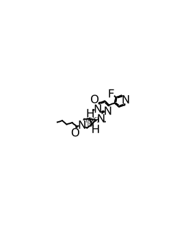 CCCCC(=O)N1C[C@@H]2[C@H](C1)[C@H]2N(C)c1nc(-c2ccncc2F)cc(=O)n1C